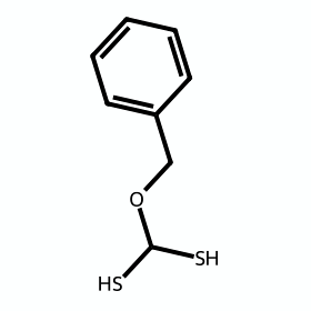 SC(S)OCc1ccccc1